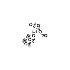 C[N+](C)(Cc1ccc(C[N+](CCOC(=O)c2ccccc2)(CCOC(=O)c2ccccc2)c2ccccc2)cc1)c1ccccc1.O=[N+]([O-])c1cccc(S(=O)(=O)[O-])c1.O=[N+]([O-])c1cccc(S(=O)(=O)[O-])c1